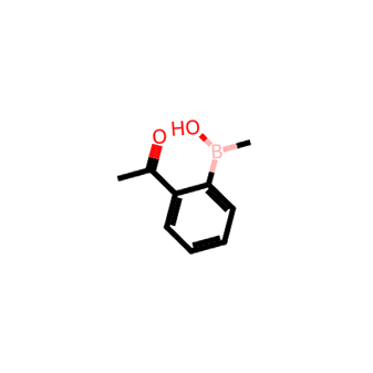 CB(O)c1ccccc1C(C)=O